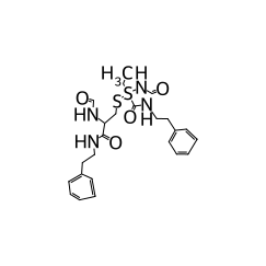 CCS(NC=O)(SCC(NC=O)C(=O)NCCc1ccccc1)C(=O)NCCc1ccccc1